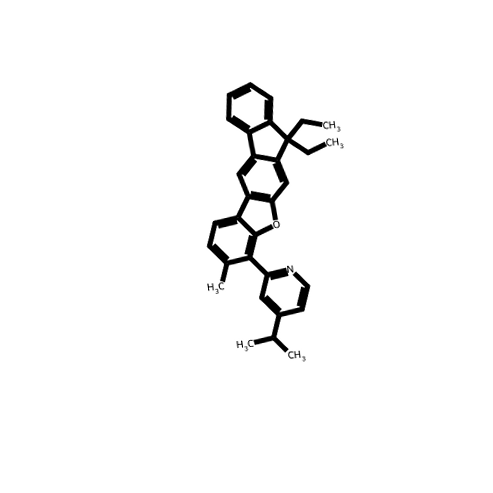 CCC1(CC)c2ccccc2-c2cc3c(cc21)oc1c(-c2cc(C(C)C)ccn2)c(C)ccc13